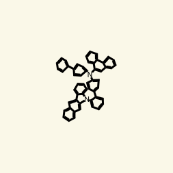 c1ccc(-c2ccc(N(c3ccc(-c4ccccc4-n4c5ccccc5c5cc6ccccc6cc54)cc3)c3cc4ccccc4c4ccccc34)cc2)cc1